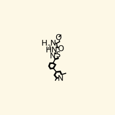 COCC(N)C(=O)Nc1nc(-c2cccc(-c3cc(C)nc(C)c3)c2)cs1